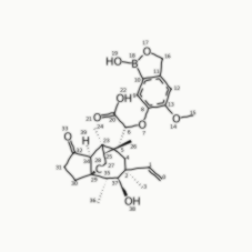 C=C[C@]1(C)C[C@@H](C(Oc2cc3c(cc2OC)COB3O)C(=O)O)[C@@]2(C)[C@H](C)CC[C@]3(CCC(=O)[C@H]32)[C@@H](C)[C@@H]1O